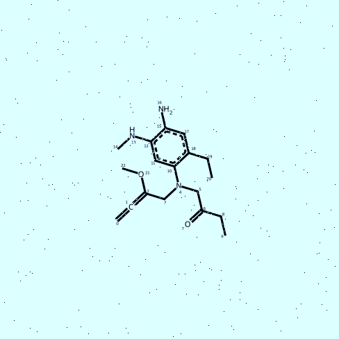 C=C=C(CN(CC(=O)CC)c1cc(NC)c(N)cc1CC)OC